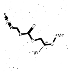 CSS[C@@H](COC(=O)OCN=C=S)C(C)C